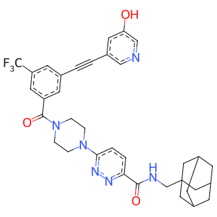 O=C(NCC12CC3CC(CC(C3)C1)C2)c1ccc(N2CCN(C(=O)c3cc(C#Cc4cncc(O)c4)cc(C(F)(F)F)c3)CC2)nn1